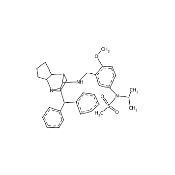 COc1ccc(N(C(C)C)S(C)(=O)=O)cc1CNC1C2CCN(C3CCCC23)C1C(c1ccccc1)c1ccccc1